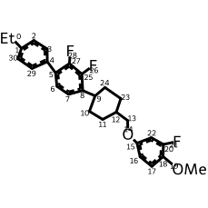 CCc1ccc(-c2ccc(C3CCC(COc4ccc(OC)c(F)c4)CC3)c(F)c2F)cc1